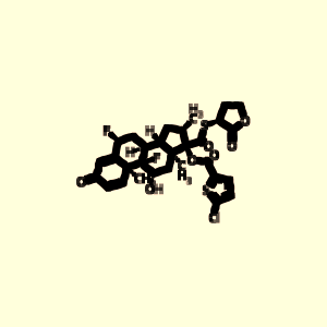 C[C@@H]1C[C@H]2[C@@H]3C[C@H](F)C4=CC(=O)C=C[C@]4(C)[C@@]3(F)[C@@H](O)C[C@]2(C)[C@@]1(OC(=O)c1ccc(Cl)s1)C(=O)S[C@H]1CCOC1=O